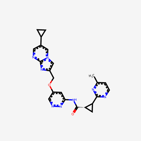 Cc1ccnc(C2C[C@@H]2C(=O)Nc2cc(OCc3cn4cc(C5CC5)cnc4n3)cnn2)n1